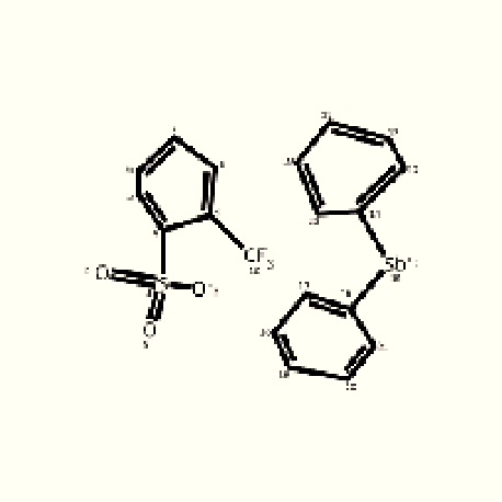 O=S(=O)([O-])c1ccccc1C(F)(F)F.c1cc[c]([Sb+][c]2ccccc2)cc1